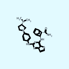 CN(C)[C@H]1CCN(c2ccc(Nc3nc(N[C@@H]4C5C=CC(C5)[C@@H]4C(N)=O)c4sccc4n3)cc2)C1